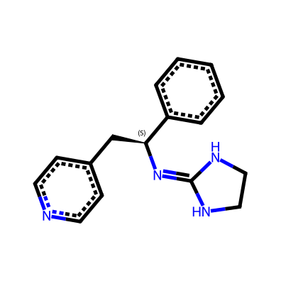 c1ccc([C@H](Cc2ccncc2)N=C2NCCN2)cc1